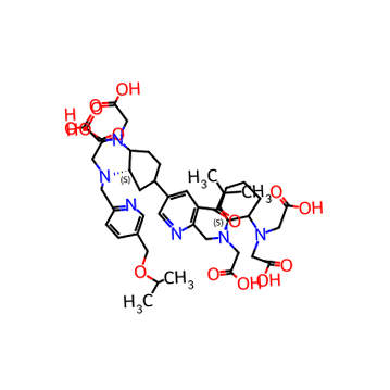 CC(C)OCc1ccc(CN(CC(=O)O)[C@H]2CC(c3cnc(CN(CC(=O)O)[C@H]4CCCCC4N(CC(=O)O)CC(=O)O)c(C(=O)C(C)C)c3)CCC2N(CC(=O)O)CC(=O)O)nc1